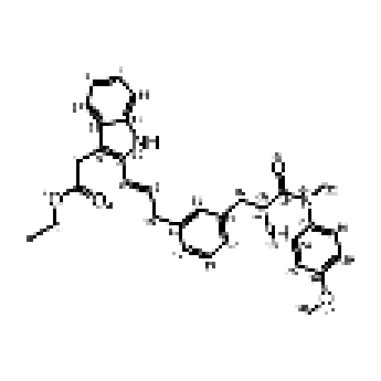 CCOC(=O)Cc1c(C=CCc2cccc(C[C@H](N)C(=O)N(C)c3ccc(OC)cc3)c2)[nH]c2ccccc12